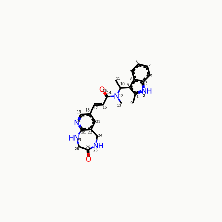 Cc1[nH]c2ccccc2c1C(C)N(C)C(=O)C=Cc1cnc2c(c1)CNC(=O)CN2